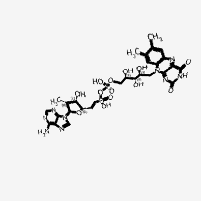 Cc1cc2nc3c(=O)[nH]c(=O)nc-3n(C[C@H](O)[C@H](O)[C@H](O)COP(=O)(O)OP(=O)(O)CC[C@H]3OC(n4cnc5c(N)ncnc54)[C@H](C)[C@@H]3O)c2cc1C